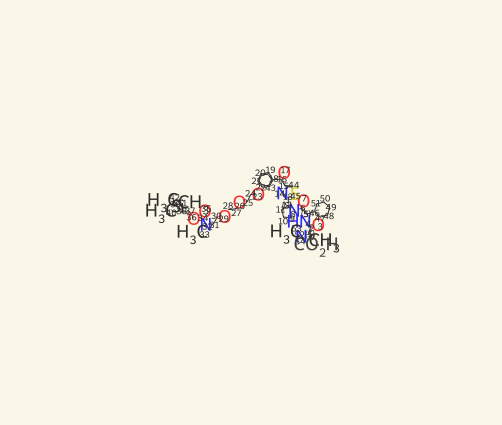 C[C@@H](C(=O)N[C@H](C(=O)N1CCC[C@H]1c1nc(C(=O)c2cccc(OCCOCCOCCN(C)C(=O)OCC[Si](C)(C)C)c2)cs1)C1CCCCC1)N(C)C(=O)O